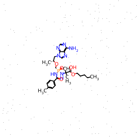 CCCCCOC(O)C(C)(C)N[P@@](=O)(CO[C@H](C)Cn1cnc2c(N)ncnc21)NC(=O)c1ccc(C)cc1